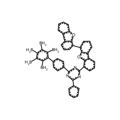 Bc1c(B)c(B)c(-c2ccc(-c3nc(-c4ccccc4)nc(-c4cccc5c4oc4c(-c6cccc7c6oc6ccccc67)cccc45)n3)cc2)c(B)c1B